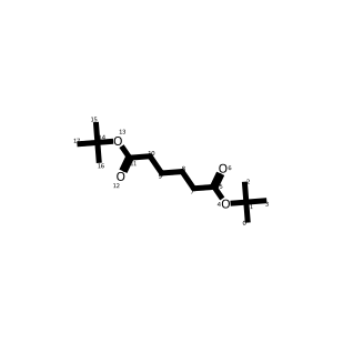 CC(C)(C)OC(=O)CCCCC(=O)OC(C)(C)C